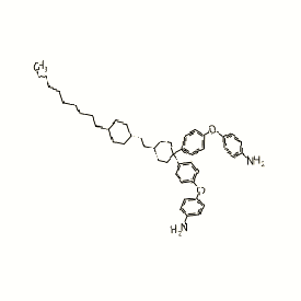 CCCCCCCCCC[C@H]1CC[C@H](CCC2CCC(c3ccc(Oc4ccc(N)cc4)cc3)(c3ccc(Oc4ccc(N)cc4)cc3)CC2)CC1